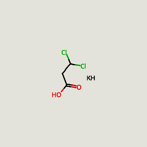 O=C(O)CC(Cl)Cl.[KH]